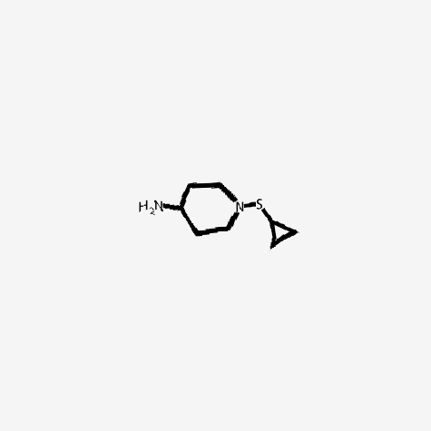 NC1CCN(SC2CC2)CC1